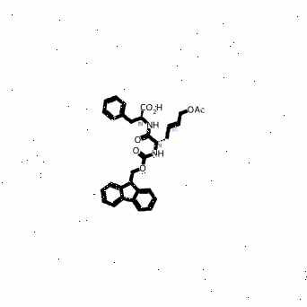 CC(=O)OC/C=C/C[C@H](NC(=O)OCC1c2ccccc2-c2ccccc21)C(=O)N[C@@H](Cc1ccccc1)C(=O)O